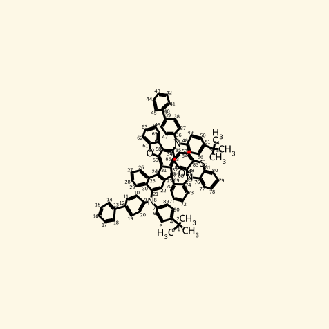 CC(C)(C)c1ccc(N(c2ccc(-c3ccccc3)cc2)c2cc3c(c4ccccc24)-c2c(cc(N(c4ccc(-c5ccccc5)cc4)c4ccc(C(C)(C)C)cc4)c4c2oc2ccccc24)[C@@]3(O)c2ccccc2N2c3ccccc3Sc3ccccc32)cc1